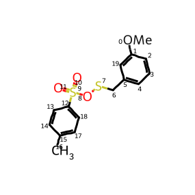 COc1cccc(CSOS(=O)(=O)c2ccc(C)cc2)c1